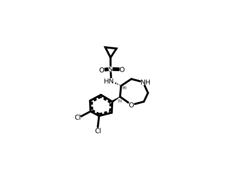 O=S(=O)(N[C@@H]1CNCCO[C@H]1c1ccc(Cl)c(Cl)c1)C1CC1